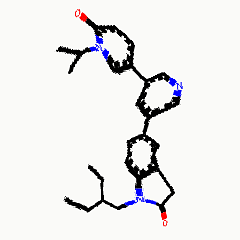 CCC(CC)CN1C(=O)Cc2cc(-c3cncc(-c4ccc(=O)n(C(C)C)c4)c3)ccc21